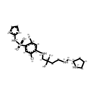 O=S(=O)(Nc1nccs1)c1cc(Cl)c(NCC(F)(F)CCNC[C@@H]2CCCN2)cc1F